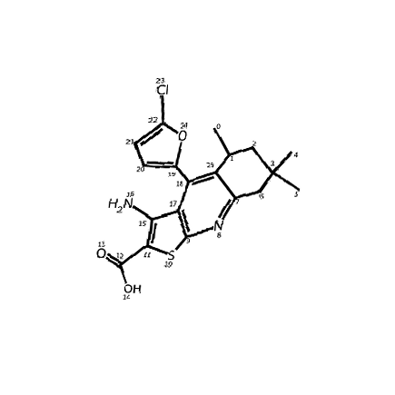 CC1CC(C)(C)Cc2nc3sc(C(=O)O)c(N)c3c(-c3ccc(Cl)o3)c21